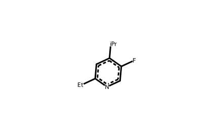 CCc1cc(C(C)C)c(F)cn1